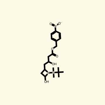 CC(C)(C)[Si](C)(C)N1C(O)CC1CC(O)CC(=O)OCc1ccc([N+](=O)[O-])cc1